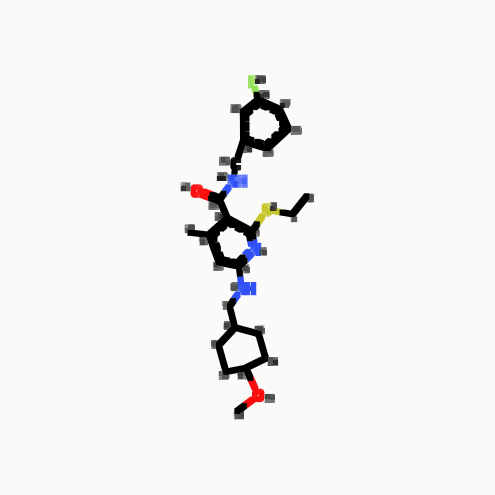 CCSc1nc(NCC2CCC(OC)CC2)cc(C)c1C(=O)NCc1cccc(F)c1